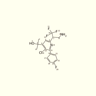 CC(C)(O)c1cc(C(CN)C(F)(F)F)nc(-c2ccc(F)cc2)c1Cl